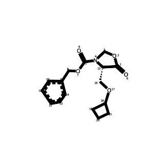 O=C1OCN(C(=O)OCc2ccccc2)[C@H]1COC1CCC1